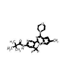 Cc1cc2c(N3CCOCC3)nc(-c3cnc(NC(=O)C(C)(C)C)cc3C(F)(F)F)nn2c1